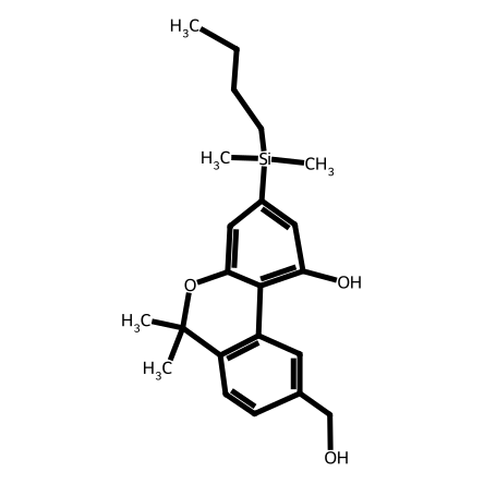 CCCC[Si](C)(C)c1cc(O)c2c(c1)OC(C)(C)c1ccc(CO)cc1-2